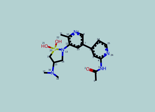 CC(=O)Nc1cc(-c2cnc(C)c(N3CC(N(C)C)CS3(O)O)c2)ccn1